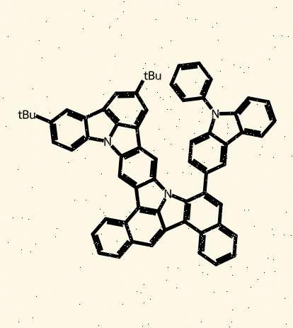 CC(C)(C)c1ccc2c(c1)c1cc(C(C)(C)C)cc3c4cc5c(cc4n2c13)c1c2ccccc2cc2c3c4ccccc4cc(-c4ccc6c(c4)c4ccccc4n6-c4ccccc4)c3n5c21